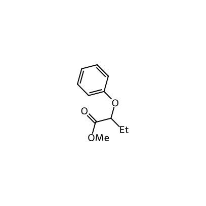 CCC(Oc1ccccc1)C(=O)OC